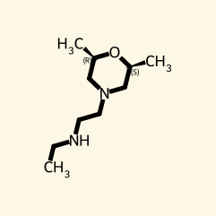 CCNCCN1C[C@@H](C)O[C@@H](C)C1